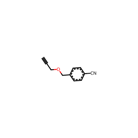 C#CCOCc1ccc(C#N)cc1